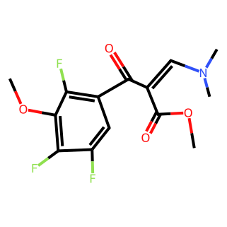 COC(=O)C(=CN(C)C)C(=O)c1cc(F)c(F)c(OC)c1F